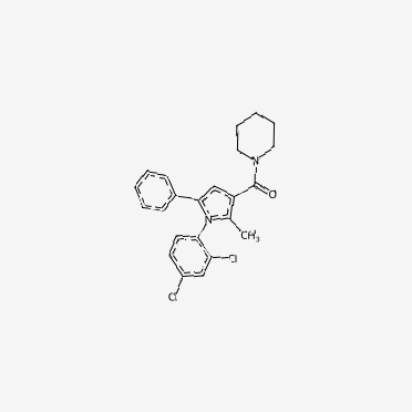 Cc1c(C(=O)N2CCCCC2)cc(-c2ccccc2)n1-c1ccc(Cl)cc1Cl